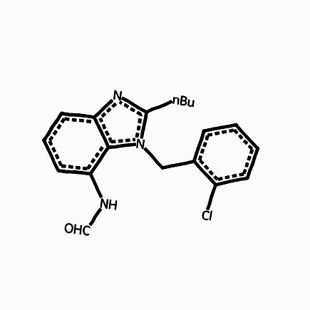 CCCCc1nc2cccc(NC=O)c2n1Cc1ccccc1Cl